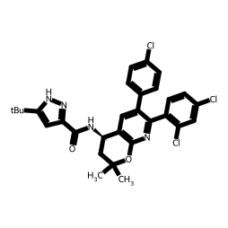 CC1(C)C[C@@H](NC(=O)c2cc(C(C)(C)C)[nH]n2)c2cc(-c3ccc(Cl)cc3)c(-c3ccc(Cl)cc3Cl)nc2O1